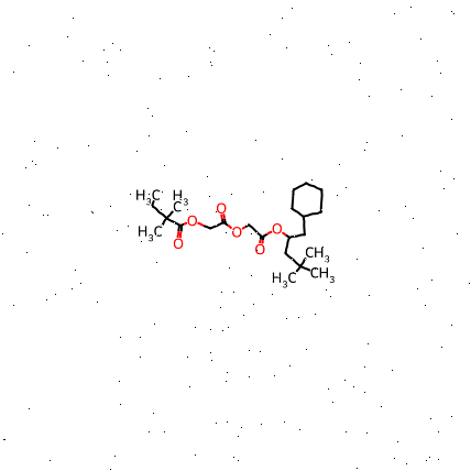 CCC(C)(C)C(=O)OCC(=O)OCC(=O)OC(CC1CCCCC1)CC(C)(C)C